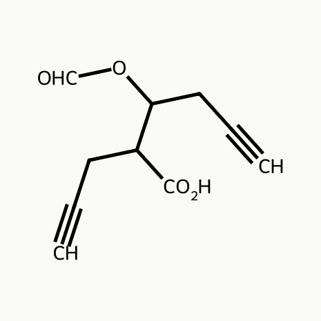 C#CCC(OC=O)C(CC#C)C(=O)O